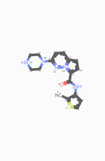 N#Cc1sccc1NC(=O)c1ccc2ccc(N3CCNCC3)nn12